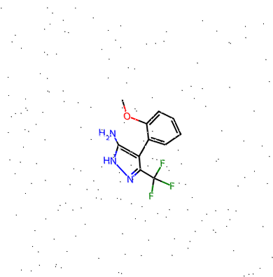 COc1ccccc1-c1c(C(F)(F)F)n[nH]c1N